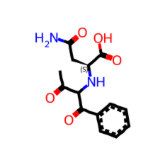 CC(=O)C(N[C@@H](CC(N)=O)C(=O)O)C(=O)c1ccccc1